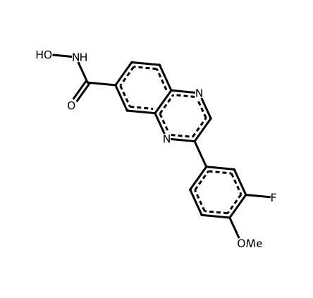 COc1ccc(-c2cnc3ccc(C(=O)NO)cc3n2)cc1F